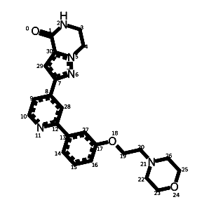 O=C1NCCn2nc(-c3ccnc(-c4cccc(OCCN5CCOCC5)c4)c3)cc21